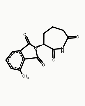 Cc1cccc2c1C(=O)N([C@H]1CCCC(=O)NC1=O)C2=O